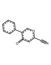 N#Cc1cc(=O)c(-c2ccccc2)co1